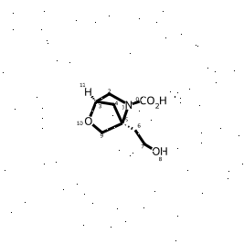 O=C(O)N1C[C@H]2C[C@]1(CCO)CO2